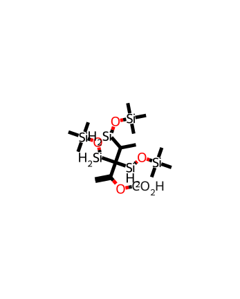 C=C(OC(=O)O)C([SiH2]O[Si](C)(C)C)([SiH2]O[Si](C)(C)C)C(C)[SiH2]O[Si](C)(C)C